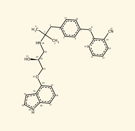 CC(C)(Cc1ccc(Oc2ncccc2C#N)cc1)NC[C@H](O)COc1cccc2[nH]ccc12